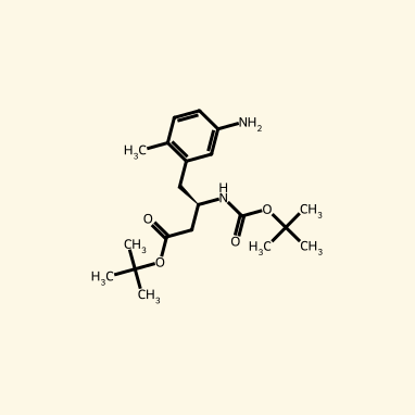 Cc1ccc(N)cc1C[C@H](CC(=O)OC(C)(C)C)NC(=O)OC(C)(C)C